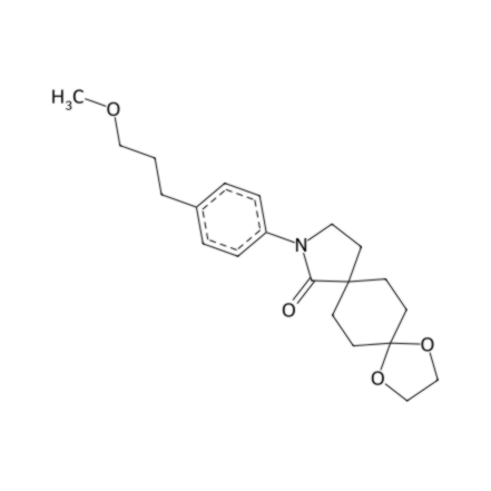 COCCCc1ccc(N2CCC3(CCC4(CC3)OCCO4)C2=O)cc1